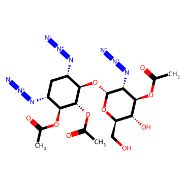 CC(=O)O[C@@H]1[C@@H](OC(C)=O)[C@H](N=[N+]=[N-])C[C@H](N=[N+]=[N-])[C@H]1O[C@H]1O[C@H](CO)[C@@H](O)[C@H](OC(C)=O)[C@H]1N=[N+]=[N-]